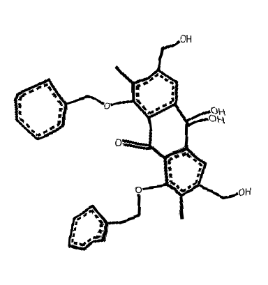 Cc1c(CO)cc(CO)c(C(=O)c2c(CO)cc(CO)c(C)c2OCc2ccccc2)c1OCc1ccccc1